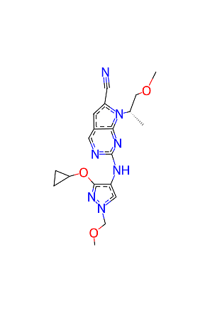 COC[C@H](C)n1c(C#N)cc2cnc(Nc3cn(COC)nc3OC3CC3)nc21